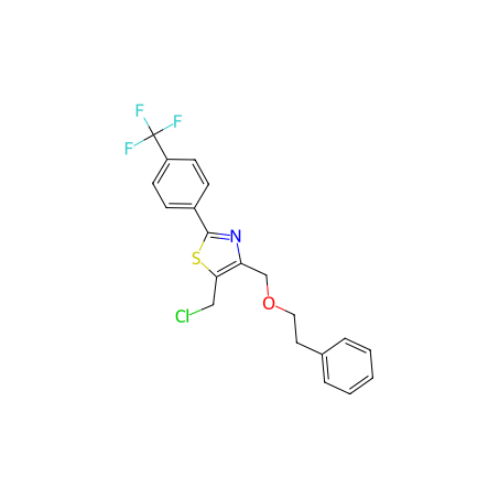 FC(F)(F)c1ccc(-c2nc(COCCc3ccccc3)c(CCl)s2)cc1